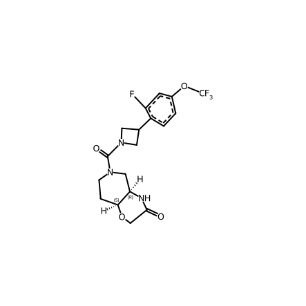 O=C1CO[C@H]2CCN(C(=O)N3CC(c4ccc(OC(F)(F)F)cc4F)C3)C[C@H]2N1